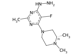 Cc1nc(NN)c(F)c(N2CCN(C)[C@@H](C)C2)n1